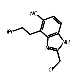 CC(C)CCc1c(C#N)ccc2[nH]c(CCl)nc12